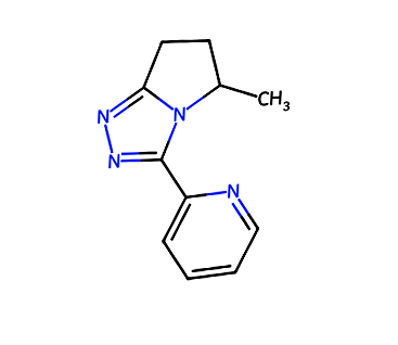 CC1CCc2nnc(-c3ccccn3)n21